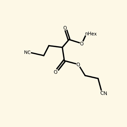 CCCCCCOC(=O)C(CCC#N)C(=O)OCCC#N